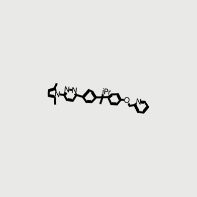 Cc1ccc(C)n1-c1ccc(-c2ccc(C(C)(c3ccc(OCc4ccccn4)cc3)C(C)C)cc2)nn1